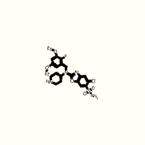 CCOc1cc(CN(c2nc3cc(Cl)c(S(N)(=O)=O)cc3o2)C2CCNCC2)c(F)c(OCC)c1